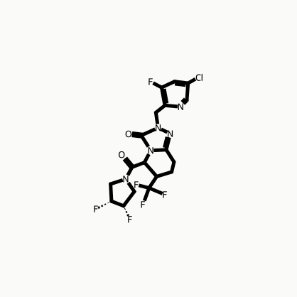 O=C(C1C(C(F)(F)F)CCc2nn(Cc3ncc(Cl)cc3F)c(=O)n21)N1C[C@@H](F)[C@@H](F)C1